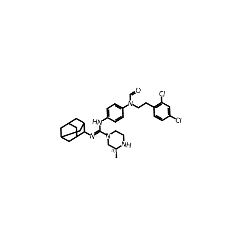 C[C@H]1CN(/C(=N/C2C3CC4CC(C3)CC2C4)Nc2ccc(N(C=O)CCc3ccc(Cl)cc3Cl)cc2)CCN1